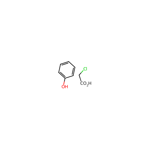 O=C(O)CCl.Oc1ccccc1